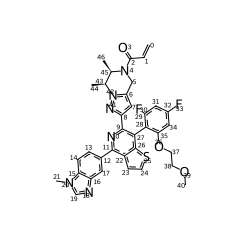 C=CC(=O)N1Cc2cc(-c3nc(-c4ccc5c(c4)ncn5C)c4ccsc4c3-c3c(F)cc(F)cc3OCCOC)nn2[C@@H](C)[C@H]1C